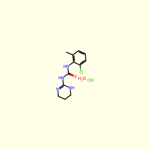 Cc1cccc(Cl)c1NC(=O)NC1=NCCCN1.Cl.O